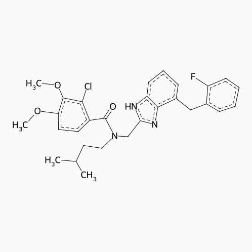 COc1ccc(C(=O)N(CCC(C)C)Cc2nc3c(Cc4ccccc4F)cccc3[nH]2)c(Cl)c1OC